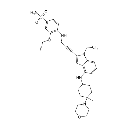 CC1(N2CCOCC2)CCC(Nc2cccc3c2cc(C#CCNc2ccc(S(N)(=O)=O)cc2OCF)n3CC(F)(F)F)CC1